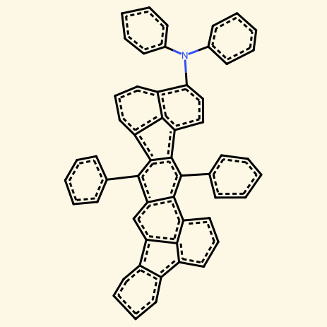 c1ccc(-c2c3cc4c5ccccc5c5cccc(c3c(-c3ccccc3)c3c6ccc(N(c7ccccc7)c7ccccc7)c7cccc(c23)c76)c54)cc1